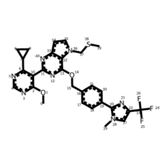 COc1ncnc(C2CC2)c1-c1nc(OCc2ccc(-c3nc(C(F)(F)F)cn3C)cc2)c2c(ccn2CSC)n1